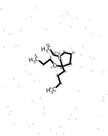 CCCCC1(OCCC)CCCN1CC